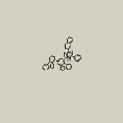 c1ccc(-c2nc(-c3ccc4ccccc4c3)nc(-c3cc(-c4cccc5c4oc4ccccc45)cc4oc5ccccc5c34)n2)cc1